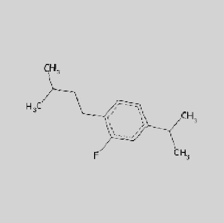 CC(C)CCc1ccc(C(C)C)cc1F